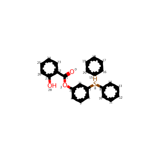 O=C(Oc1cccc([SH](c2ccccc2)c2ccccc2)c1)c1ccccc1O